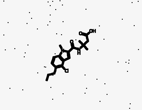 CCCc1ccc2c(cc(C(=O)NC(C)(C)CC(=O)O)n2C)c1Cl